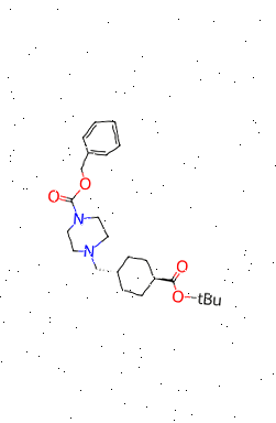 CC(C)(C)OC(=O)[C@H]1CC[C@H](CN2CCN(C(=O)OCc3ccccc3)CC2)CC1